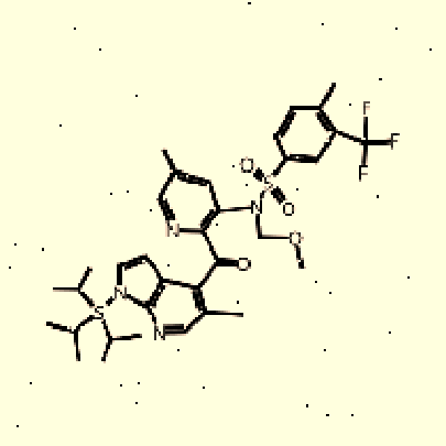 COCN(c1cc(C)cnc1C(=O)c1c(C)cnc2c1ccn2[Si](C(C)C)(C(C)C)C(C)C)S(=O)(=O)c1ccc(C)c(C(F)(F)F)c1